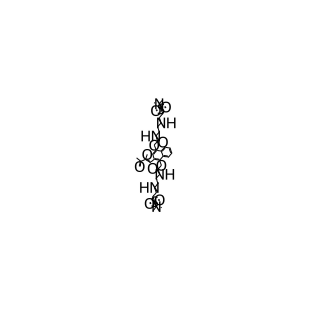 CC(=O)c1cc2c(OC(=O)NCCNCCS(=O)(=O)N(C)C)c3ccccc3c(OC(=O)NCCNCCS(=O)(=O)N(C)C)c2o1